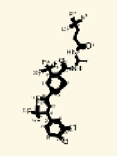 C[C@H](NC(=O)CCC(F)(F)F)NC(=O)c1ccc(/C(F)=C/C(c2ccc(Cl)c(Cl)c2)C(F)(F)F)cc1C(F)(F)F